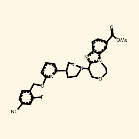 COC(=O)c1ccc2nc3n(c2c1)CCOCC3N1CCC(c2cccc(OCc3ccc(C#N)cc3F)n2)CC1